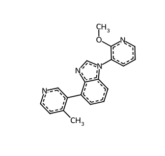 COc1ncccc1-n1cnc2c(-c3cnccc3C)cccc21